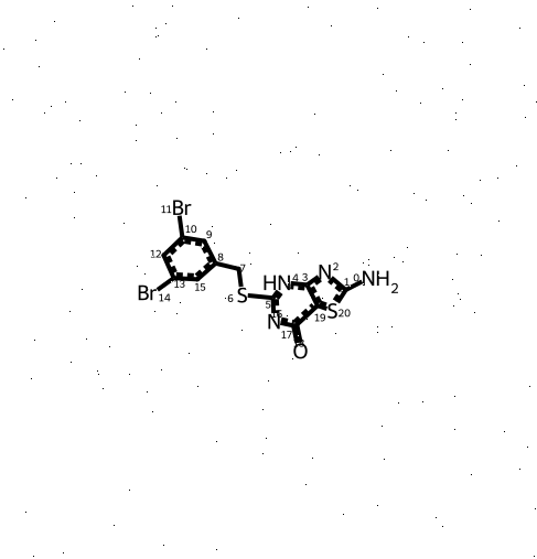 Nc1nc2[nH]c(SCc3cc(Br)cc(Br)c3)nc(=O)c2s1